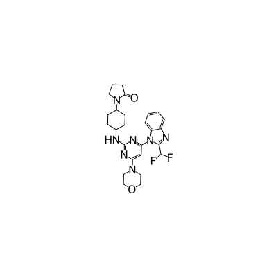 O=C1[CH]CCN1C1CCC(Nc2nc(N3CCOCC3)cc(-n3c(C(F)F)nc4ccccc43)n2)CC1